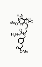 CCCCOc1nc(N)c2[nH]c(=O)n(CCCN(Cc3cccc(CC(=O)OC)c3)C(=O)CN)c2n1